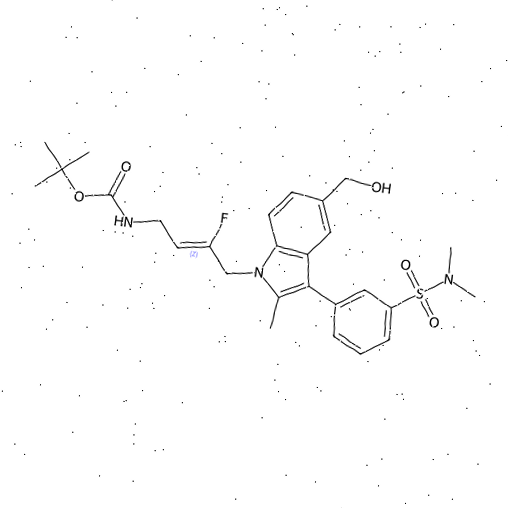 Cc1c(-c2cccc(S(=O)(=O)N(C)C)c2)c2cc(CO)ccc2n1C/C(F)=C/CNC(=O)OC(C)(C)C